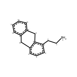 BCCc1cccc2c1Cc1ccccc1C2